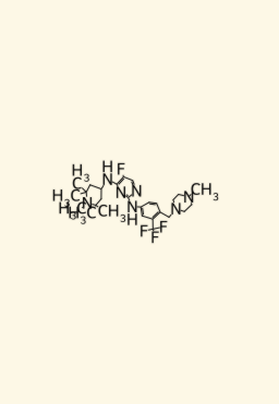 CN1CCN(Cc2ccc(Nc3ncc(F)c(NC4CC(C)(C)N(C)C(C)(C)C4)n3)cc2C(F)(F)F)CC1